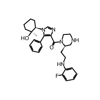 C[C@]1(O)CCCC[C@H]1n1cnc(C(=O)N2CCNC[C@H]2CCNc2ccccc2F)c1-c1ccccc1